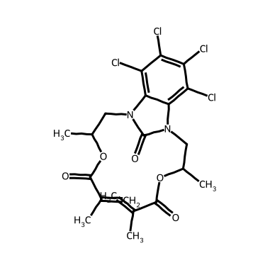 C=C(C)C(=O)OC(C)Cn1c(=O)n(CC(C)OC(=O)C(=C)C)c2c(Cl)c(Cl)c(Cl)c(Cl)c21